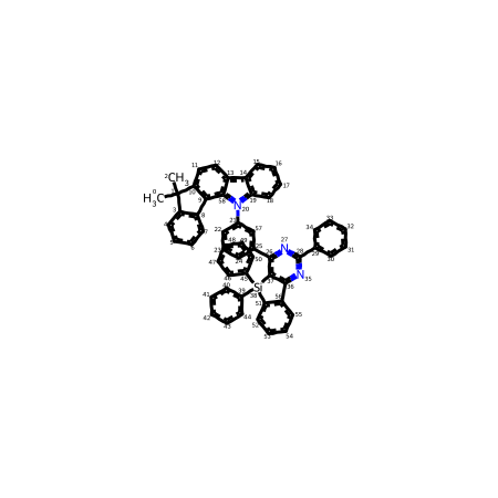 CC1(C)c2ccccc2-c2c1ccc1c3ccccc3n(-c3cccc(-c4nc(-c5ccccc5)nc5c4[Si](c4ccccc4)(c4ccccc4)c4ccccc4-5)c3)c21